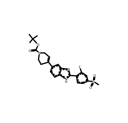 CC(C)(C)OC(=O)N1CC=C(c2ccc3[nH]c(-c4ccc(S(C)(=O)=O)cc4F)nc3c2)CC1